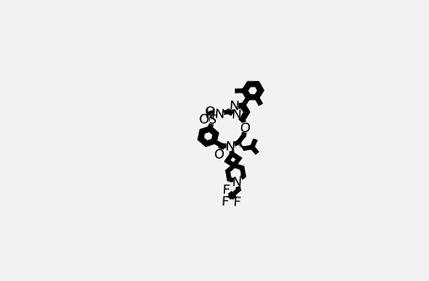 Cc1cccc(C)c1-c1cc2nc(n1)NS(=O)(=O)c1cccc(c1)C(=O)N(C1CC3(CCN(CC(F)(F)F)CC3)C1)[C@H](CC(C)C)CO2